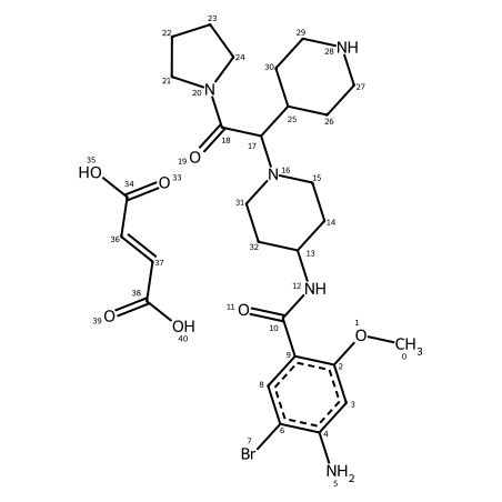 COc1cc(N)c(Br)cc1C(=O)NC1CCN(C(C(=O)N2CCCC2)C2CCNCC2)CC1.O=C(O)C=CC(=O)O